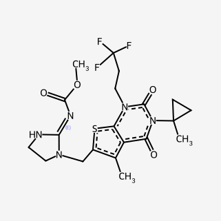 COC(=O)/N=C1\NCCN1Cc1sc2c(c1C)c(=O)n(C1(C)CC1)c(=O)n2CCC(F)(F)F